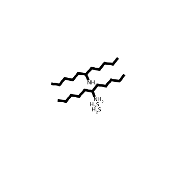 CCCCCC(N)CCCCC.CCCCCC(N)CCCCC.S.S